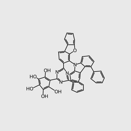 Oc1c(O)c(O)c(-c2nc(-c3ccccc3)nc(-c3ccc4c(oc5ccccc54)c3-n3c4ccccc4c4c(-c5ccccc5)cccc43)n2)c(O)c1O